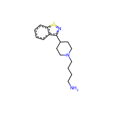 NCCCCN1CCC(c2nsc3ccccc23)CC1